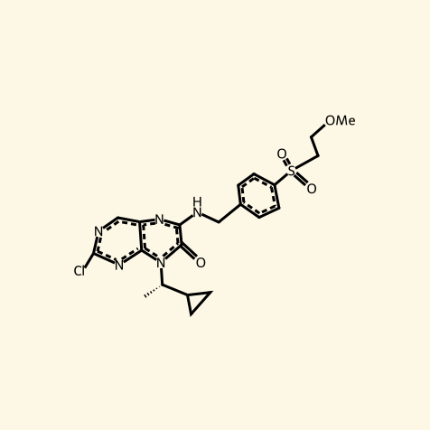 COCCS(=O)(=O)c1ccc(CNc2nc3cnc(Cl)nc3n([C@@H](C)C3CC3)c2=O)cc1